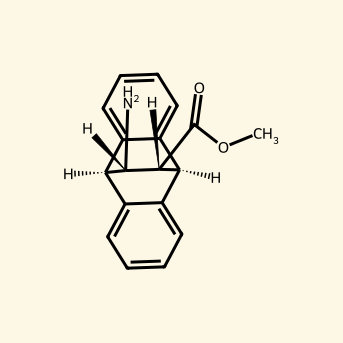 COC(=O)[C@@H]1[C@H]2c3ccccc3[C@H](c3ccccc32)[C@@H]1N